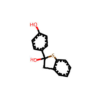 Oc1ccc(C2(O)[CH]c3ccccc3S2)cc1